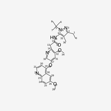 CCc1nn(C(C)(C)C)c(NC(=O)Cc2ncc(Oc3ccnc4ccc(OC)cc34)cc2OC)c1C